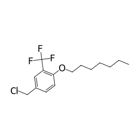 CCCCCCCOc1ccc(CCl)cc1C(F)(F)F